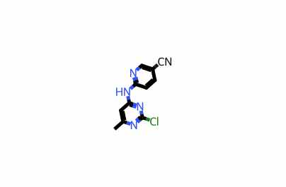 Cc1cc(Nc2ccc(C#N)cn2)nc(Cl)n1